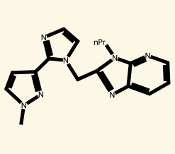 CCCn1c(Cn2ccnc2-c2ccn(C)n2)nc2cccnc21